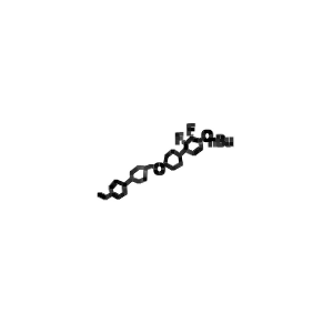 C=Cc1ccc(C2CCC(COC3CCC(c4ccc(OCCCC)c(F)c4F)CC3)CC2)cc1